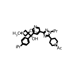 CC(=O)N1CCC(c2nc(-c3cncc([C@@](O)(c4ccc(C(C)C)cc4)C4(C)CN(C)C4)c3)nn2C(C)C)CC1